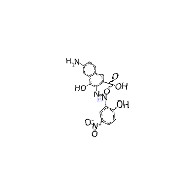 Nc1ccc2cc(S(=O)(=O)O)c(/N=N/c3cc([N+](=O)[O-])ccc3O)c(O)c2c1